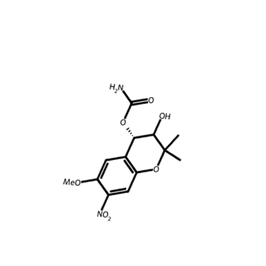 COc1cc2c(cc1[N+](=O)[O-])OC(C)(C)C(O)[C@H]2OC(N)=O